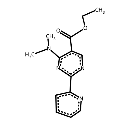 CCOC(=O)c1cnc(-c2ccccn2)nc1N(C)C